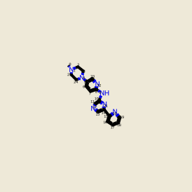 CN1CCN(c2ccc(Nc3cncc(-c4ccccn4)n3)nc2)CC1